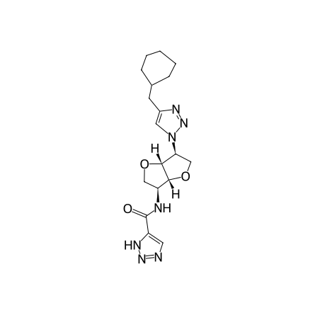 O=C(N[C@H]1CO[C@H]2[C@@H]1OC[C@@H]2n1cc(CC2CCCCC2)nn1)c1cnn[nH]1